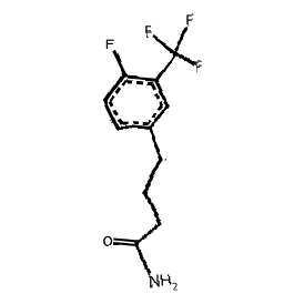 NC(=O)CC[CH]c1ccc(F)c(C(F)(F)F)c1